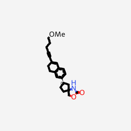 COCCCC#CC1=Cc2ccc([C@H]3CCC4(COC(=O)N4)C3)cc2CC1